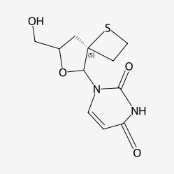 O=c1ccn(C2OC(CO)C[C@]23CCS3)c(=O)[nH]1